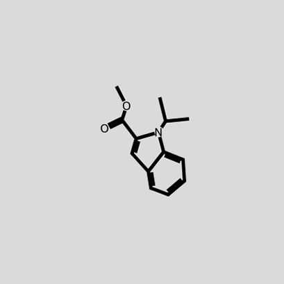 COC(=O)c1cc2ccccc2n1C(C)C